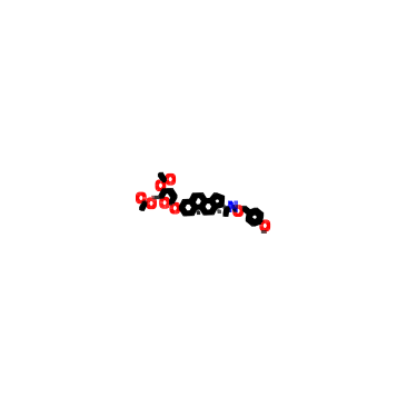 COc1ccc(CO/N=C(\C)[C@H]2CCC3C4CC=C5C[C@@H](OC6C=C[C@H](OC(C)=O)[C@@H](COC(C)=O)O6)CC[C@]5(C)C4CC[C@@]32C)cc1